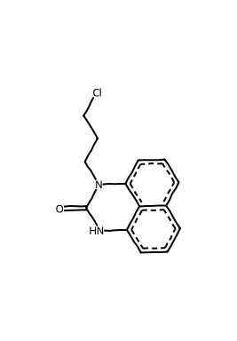 O=C1Nc2cccc3cccc(c23)N1CCCCl